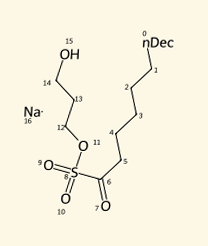 CCCCCCCCCCCCCCCC(=O)S(=O)(=O)OCCCO.[Na]